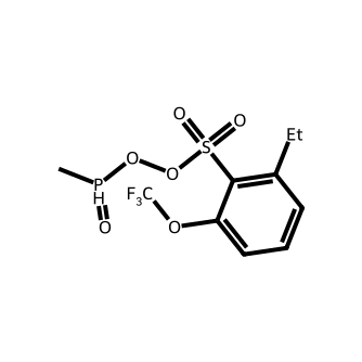 CCc1cccc(OC(F)(F)F)c1S(=O)(=O)OO[PH](C)=O